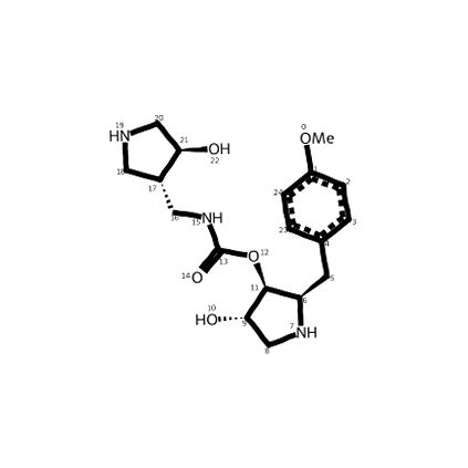 COc1ccc(C[C@H]2NC[C@H](O)[C@H]2OC(=O)NC[C@@H]2CNC[C@H]2O)cc1